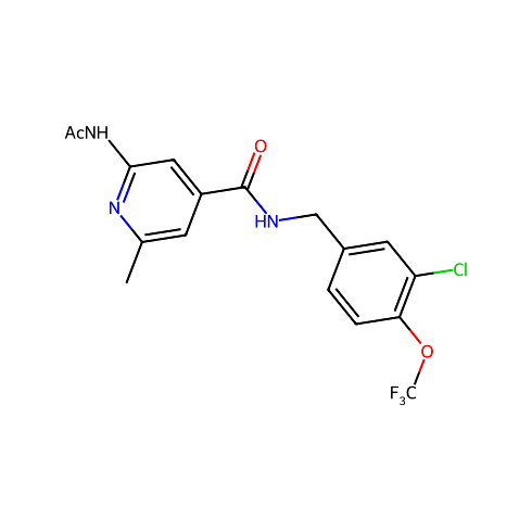 CC(=O)Nc1cc(C(=O)NCc2ccc(OC(F)(F)F)c(Cl)c2)cc(C)n1